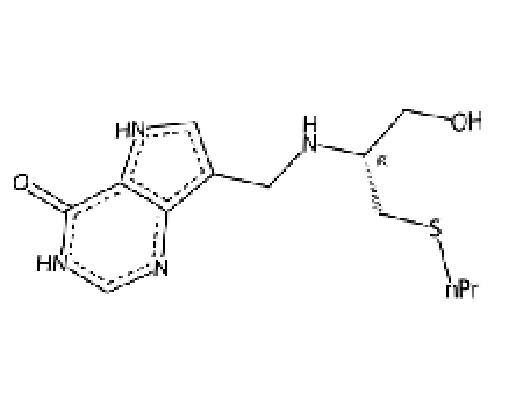 CCCSC[C@@H](CO)NCc1c[nH]c2c(=O)[nH]cnc12